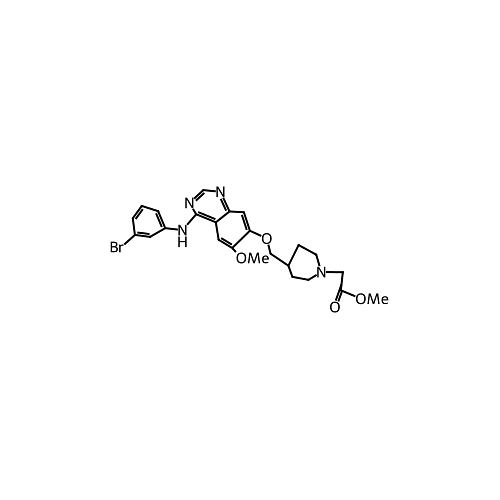 COC(=O)CN1CCC(COc2cc3ncnc(Nc4cccc(Br)c4)c3cc2OC)CC1